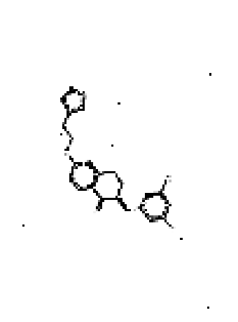 O=C1/C(=C/c2cc(Cl)cc(Cl)c2)CCc2cc(OCCn3ccnc3)ccc21